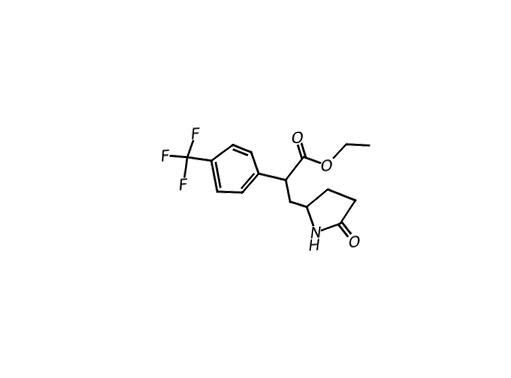 CCOC(=O)C(CC1CCC(=O)N1)c1ccc(C(F)(F)F)cc1